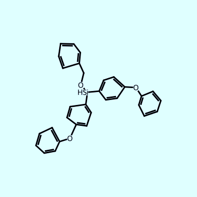 c1ccc(CO[SiH](c2ccc(Oc3ccccc3)cc2)c2ccc(Oc3ccccc3)cc2)cc1